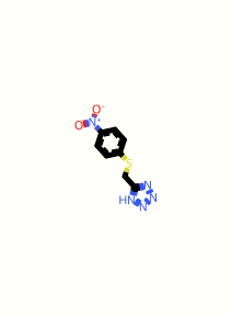 O=[N+]([O-])c1ccc(SCc2nnn[nH]2)cc1